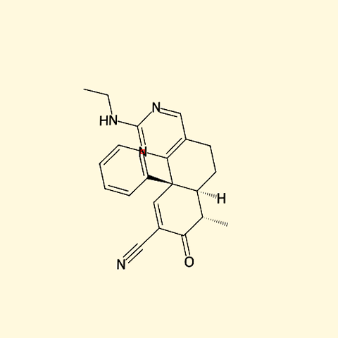 CCNc1ncc2c(n1)[C@@]1(c3ccccc3)C=C(C#N)C(=O)[C@@H](C)[C@@H]1CC2